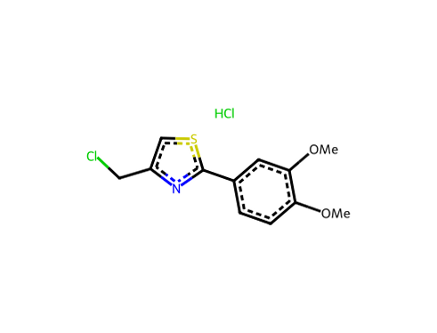 COc1ccc(-c2nc(CCl)cs2)cc1OC.Cl